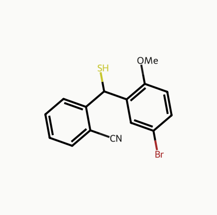 COc1ccc(Br)cc1C(S)c1ccccc1C#N